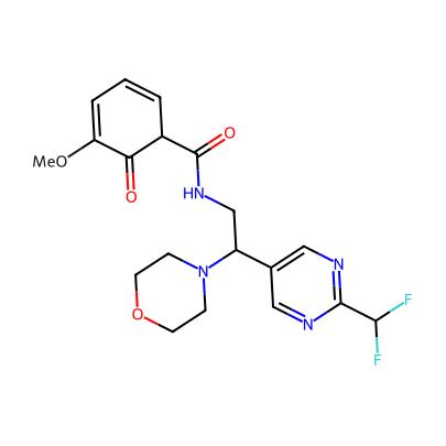 COC1=CC=CC(C(=O)NCC(c2cnc(C(F)F)nc2)N2CCOCC2)C1=O